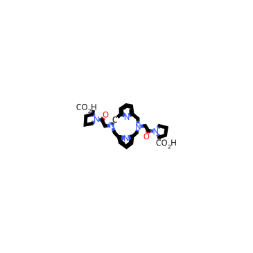 O=C(O)C1CCCN1C(=O)CN1Cc2cccc(n2)CN(CC(=O)N2CCCC2C(=O)O)Cc2cccc(n2)C1